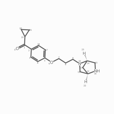 O=C(c1ccc(OCCCN2C[C@H]3C[C@@H]2CN3)cc1)C1CC1